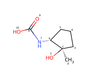 C[C@@]1(O)CCC[C@H]1NC(=O)O